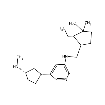 CCC1C(CNc2cc(N3CC[C@H](NC)C3)cnn2)CCC1(C)C